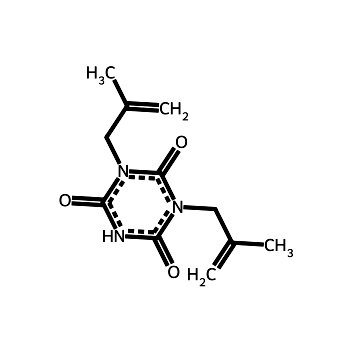 C=C(C)Cn1c(=O)[nH]c(=O)n(CC(=C)C)c1=O